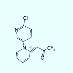 O=C(/C=C1\C=CC=CN1c1ccc(Cl)nc1)C(F)(F)F